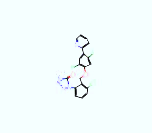 Cn1nnn(-c2cccc(Cl)c2COc2cc(F)c(-c3ccccn3)cc2F)c1=O